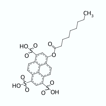 CCCCCCCCC(=O)Oc1cc(S(=O)(=O)O)c2ccc3c(S(=O)(=O)O)cc(S(=O)(=O)O)c4ccc1c2c43